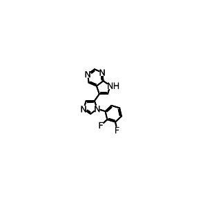 Fc1cccc(-n2cncc2-c2c[nH]c3ncncc23)c1F